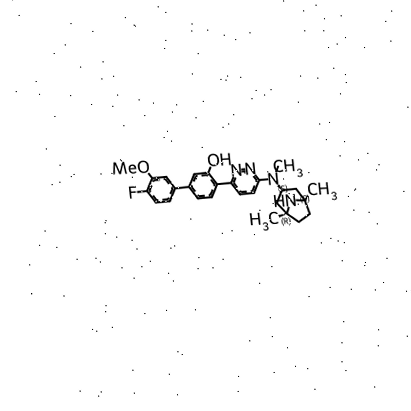 COc1cc(-c2ccc(-c3ccc(N(C)[C@H]4C[C@]5(C)CC[C@](C)(C4)N5)nn3)c(O)c2)ccc1F